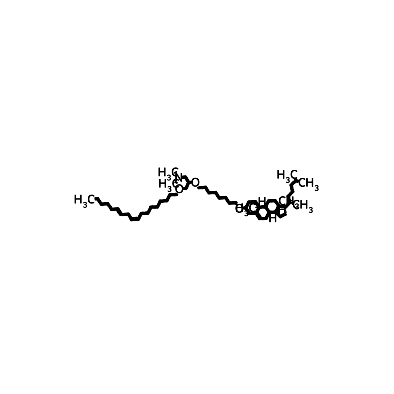 CCCCCC=CC/C=C\CCCCCCCCOCC(CN(C)C)OCCCCCCCCOC1CC[C@]2(C)C(=CC[C@@H]3[C@H]4CC[C@@H]([C@@H](C)CCCC(C)C)[C@]4(C)CC[C@H]32)C1